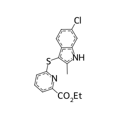 CCOC(=O)c1cccc(Sc2c(C)[nH]c3cc(Cl)ccc23)n1